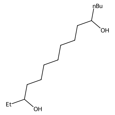 CCCCC(O)CCCCCCCC(O)CC